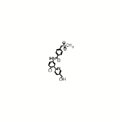 CS(=O)(=O)Cc1ccc(C(=O)Nc2ccc(Cl)c(-c3ccc(CO)cn3)c2)cc1